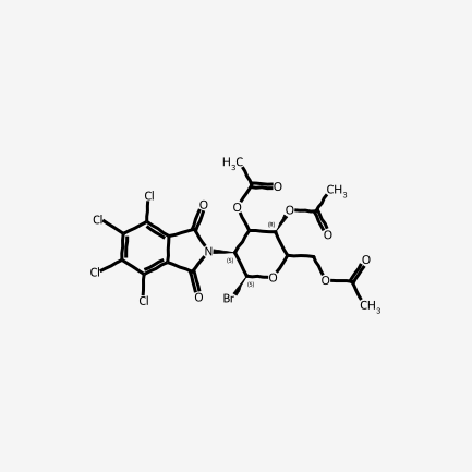 CC(=O)OCC1O[C@@H](Br)[C@@H](N2C(=O)c3c(Cl)c(Cl)c(Cl)c(Cl)c3C2=O)C(OC(C)=O)[C@H]1OC(C)=O